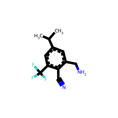 CC(C)c1cc(CN)c(C#N)c(C(F)(F)F)c1